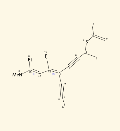 C=C(C)SC(C)C#C/C(C#CC)=C(F)/C=C(\CC)NC